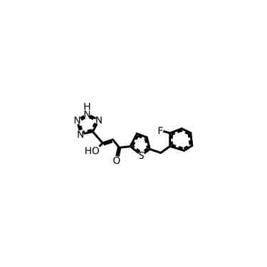 O=C(C=C(O)c1nn[nH]n1)c1ccc(Cc2ccccc2F)s1